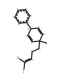 CC1(CCC=C(F)F)C=CC(c2ccccc2)C=C1